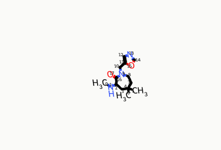 CNC1CC(C)(C)CCN(Cc2cnco2)C1=O